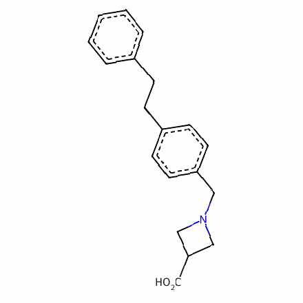 O=C(O)C1CN(Cc2ccc(CCc3ccccc3)cc2)C1